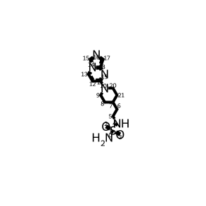 NS(=O)(=O)NCCC1CCN(c2ccn3cncc3n2)CC1